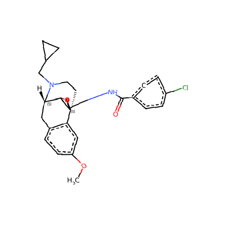 COc1ccc2c(c1)[C@@]13CCN(CC4CC4)[C@@H](C2)C1OCC(NC(=O)c1ccc(Cl)cc1)C3